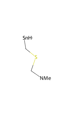 CNCS[CH2][SnH]